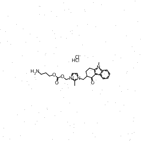 Cc1n(CC2CCc3c(c4ccccc4n3C)C2=O)cc[n+]1COC(=O)OCCCN.Cl.[Cl-]